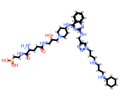 N[C@@H](CCC(=O)NC[C@@H](O)CN1CCC(Nc2nc(NCc3cn(CCCNCCCNC4CCCCC4)nn3)nc3ccccc23)CC1)C(=O)NCCP(O)O